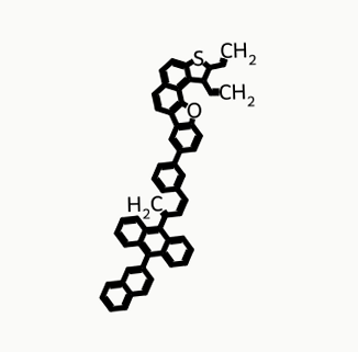 C=CC1Sc2ccc3ccc4c5cc(-c6cccc(/C=C\C(=C)c7c8ccccc8c(-c8ccc9ccccc9c8)c8ccccc78)c6)ccc5oc4c3c2C1C=C